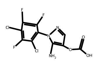 Nc1c(OC(=O)O)cnn1-c1c(F)c(F)c(Cl)c(F)c1Cl